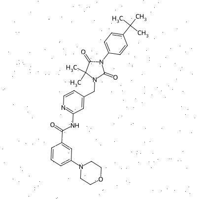 CC(C)(C)c1ccc(N2C(=O)N(Cc3ccnc(NC(=O)c4cccc(N5CCOCC5)c4)c3)C(C)(C)C2=O)cc1